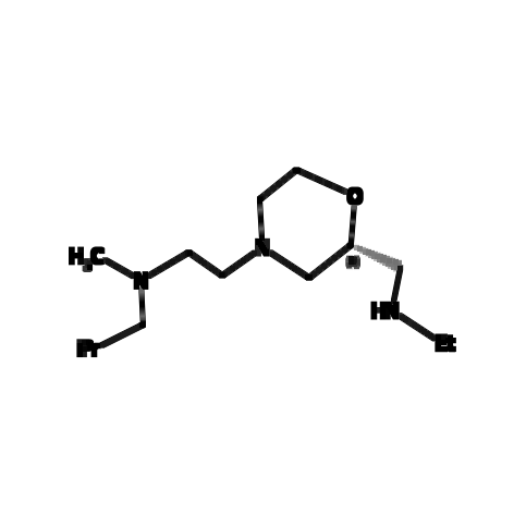 CCNC[C@@H]1CN(CCN(C)CC(C)C)CCO1